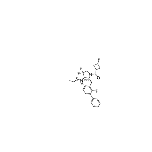 CCSN[C@@H]1[C@H](Cc2cccc(-c3ccccc3)c2F)N(C(=O)[C@H]2C[C@H](F)C2)CC1(F)F